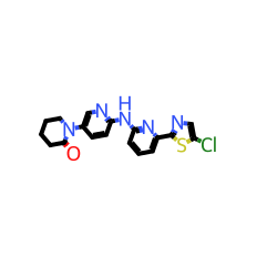 O=C1CCCCN1c1ccc(Nc2cccc(-c3ncc(Cl)s3)n2)nc1